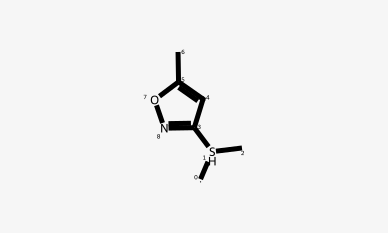 [CH2][SH](C)c1cc(C)on1